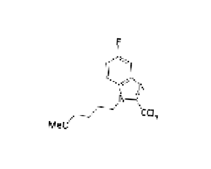 COCCCCn1c(C(Cl)(Cl)Cl)nc2cc(F)ccc21